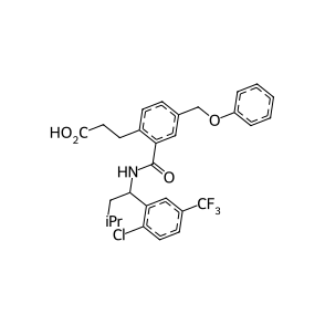 CC(C)CC(NC(=O)c1cc(COc2ccccc2)ccc1CCC(=O)O)c1cc(C(F)(F)F)ccc1Cl